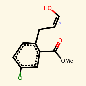 COC(=O)c1cc(Cl)ccc1C/C=C\O